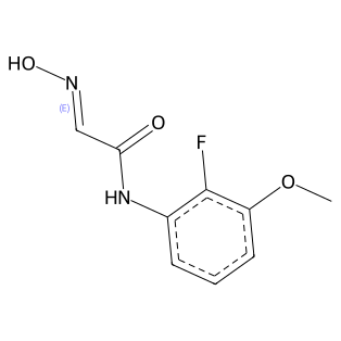 COc1cccc(NC(=O)/C=N/O)c1F